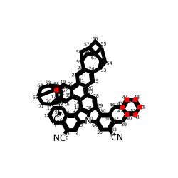 N#Cc1cc2c(c3c1C1CCC3CC1)c1c3c4cc5c(cc4c4cc6c(cc4c3cc3c4c7c(c(C#N)cc4n2c31)C1c2ccccc2C7c2ccccc21)C1CC2CC3CC6CC32C1)C1CC2CC(C1)CC5C2